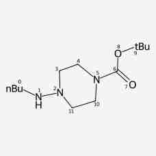 CCCCNN1CCN(C(=O)OC(C)(C)C)CC1